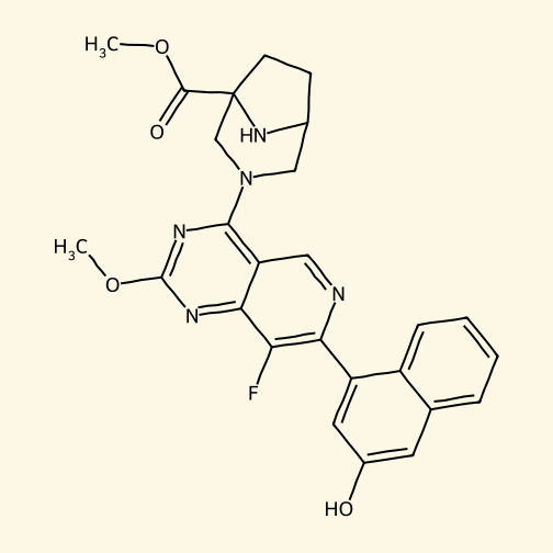 COC(=O)C12CCC(CN(c3nc(OC)nc4c(F)c(-c5cc(O)cc6ccccc56)ncc34)C1)N2